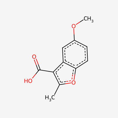 COc1ccc2oc(C)c(C(=O)O)c2c1